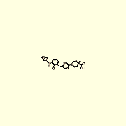 CC1(C(=O)O)CCN(c2cnc(Sc3cccc(NC4CNC4)c3Cl)cn2)CC1